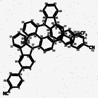 N#Cc1ccc(-c2ccc3c(c2)c2ccccc2n3-c2ccc(-c3ccc(C(F)(F)F)cc3C(F)(F)F)cc2-c2c(C#N)cccc2-n2c3ccccc3c3cc(-c4ccc(C#N)cc4)ccc32)cc1